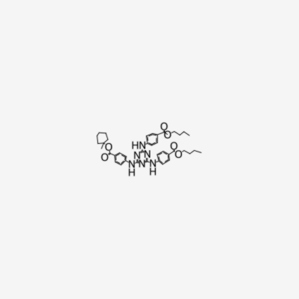 CCCCOC(=O)c1ccc(Nc2nc(Nc3ccc(C(=O)OCCCC)cc3)nc(Nc3ccc(C(=O)OC4(C)CCCCC4)cc3)n2)cc1